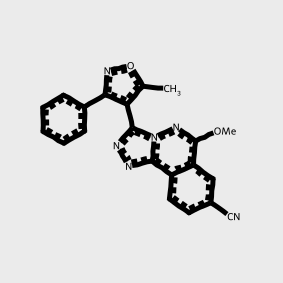 COc1nn2c(-c3c(-c4ccccc4)noc3C)nnc2c2ccc(C#N)cc12